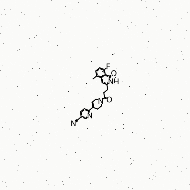 Cc1ccc(F)c2c(=O)[nH]c(CCC(=O)N3CC=C(c4ccc(C#N)cn4)CC3)cc12